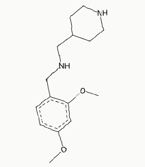 COc1ccc(CNCC2CCNCC2)c(OC)c1